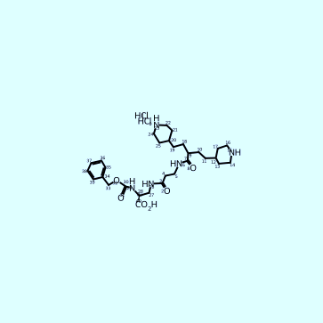 Cl.Cl.O=C(CCNC(=O)C(CCC1CCNCC1)CCC1CCNCC1)NC[C@H](NC(=O)OCc1ccccc1)C(=O)O